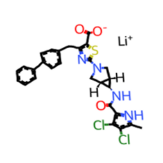 Cc1[nH]c(C(=O)N[C@@H]2[C@@H]3CN(c4nc(Cc5ccc(-c6ccccc6)cc5)c(C(=O)[O-])s4)C[C@@H]32)c(Cl)c1Cl.[Li+]